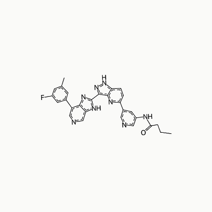 CCCC(=O)Nc1cncc(-c2ccc3[nH]nc(-c4nc5c(-c6cc(C)cc(F)c6)cncc5[nH]4)c3n2)c1